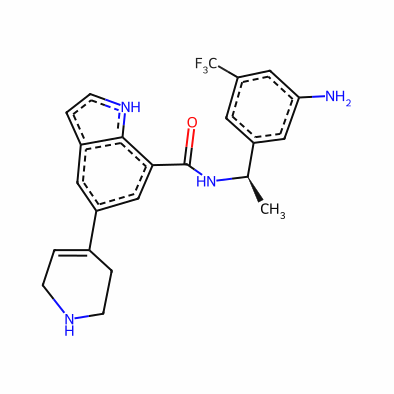 C[C@@H](NC(=O)c1cc(C2=CCNCC2)cc2cc[nH]c12)c1cc(N)cc(C(F)(F)F)c1